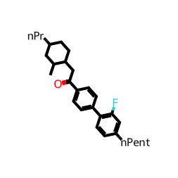 CCCCCc1ccc(-c2ccc(C(=O)CC3CCC(CCC)CC3C)cc2)c(F)c1